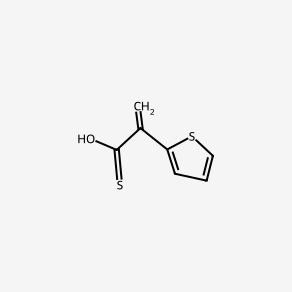 C=C(C(O)=S)c1cccs1